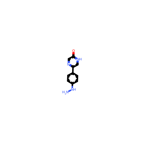 NNc1ccc(-c2c[nH]c(=O)cn2)cc1